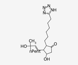 CCCCCC(C)(O)C=CC1C(O)CC(=O)C1CCCCCCc1nnn[nH]1